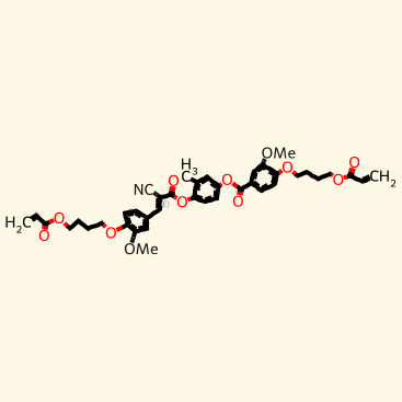 C=CC(=O)OCCCCOc1ccc(/C=C(\C#N)C(=O)Oc2ccc(OC(=O)c3ccc(OCCCCOC(=O)C=C)c(OC)c3)cc2C)cc1OC